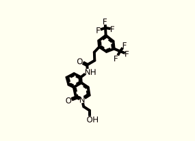 O=C(CCc1cc(C(F)(F)F)cc(C(F)(F)F)c1)Nc1cccc2c(=O)n(CCO)ccc12